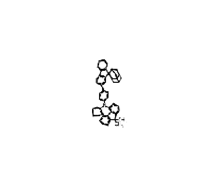 CC1(C)c2ccccc2-c2c(N(c3ccccc3)c3ccc(-c4ccc5c(c4)C4(c6ccccc6-5)C5CC6CC(C5)CC4C6)cc3)cccc21